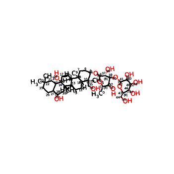 C[C@H]1O[C@@H](O[C@H]2CC[C@@]3(C)[C@@H](CC[C@]4(C)[C@@H]3C=C[C@]3(O)C5CC(C)(C)CCC5[C@@H](O)C[C@]34C)[C@]2(C)CO)[C@H](O)[C@@H](O[C@@H]2O[C@H](CO)[C@@H](O)[C@H](O)[C@H]2O)[C@H]1O